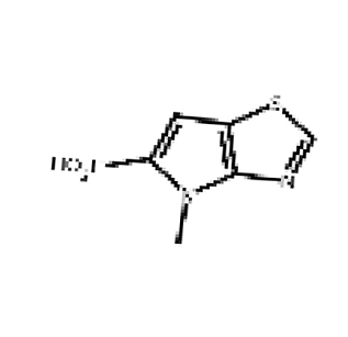 Cn1c(C(=O)O)cc2scnc21